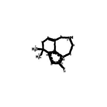 CC1(C)CC=C2CNCCn3c(F)cc1c32